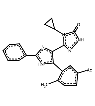 CC(=O)c1ccc(C)c(-c2[nH]c(-c3ccccc3)nc2-c2n[nH]c(=O)n2C2CC2)c1